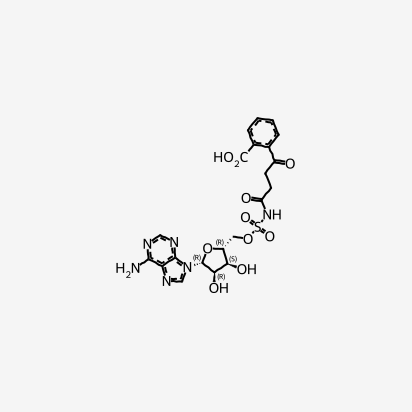 Nc1ncnc2c1ncn2[C@@H]1O[C@H](COS(=O)(=O)NC(=O)CCC(=O)c2ccccc2C(=O)O)[C@@H](O)[C@H]1O